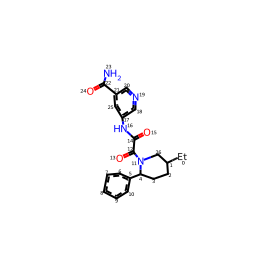 CCC1CCC(c2ccccc2)N(C(=O)C(=O)Nc2cncc(C(N)=O)c2)C1